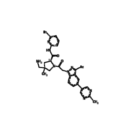 CC(=O)c1nn(CC(=O)N2CC(C)(CN)C[C@H]2C(=O)Nc2cccc(Br)n2)c2ccc(-c3cnc(C)nc3)cc12